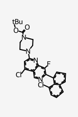 CC(C)(C)OC(=O)N1CCN(c2cc(Cl)c3cnc(-c4cccc5cccc(Cl)c45)c(F)c3n2)CC1